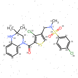 CN(Cc1csc(C(=O)N2CC(C)(C)Nc3ccccc32)c1Cl)S(=O)(=O)c1ccc(Cl)cc1